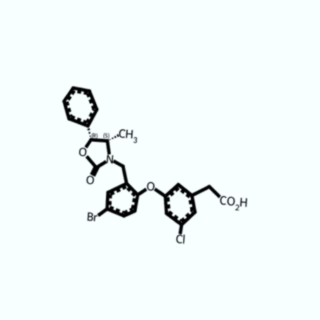 C[C@H]1[C@@H](c2ccccc2)OC(=O)N1Cc1cc(Br)ccc1Oc1cc(Cl)cc(CC(=O)O)c1